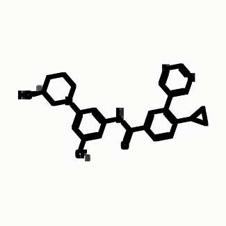 O=C(Nc1cc(N2CCC[C@H](O)C2)cc(C(F)(F)F)c1)c1ccc(C2CC2)c(-c2cncnc2)c1